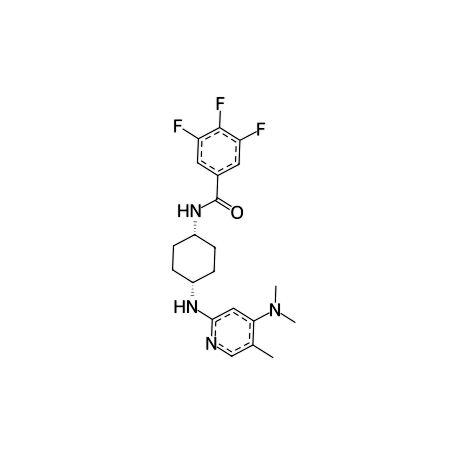 Cc1cnc(N[C@H]2CC[C@@H](NC(=O)c3cc(F)c(F)c(F)c3)CC2)cc1N(C)C